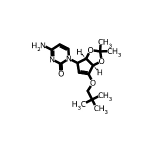 CC(C)(C)COC1=CC(n2ccc(N)nc2=O)[C@H]2OC(C)(C)O[C@@H]12